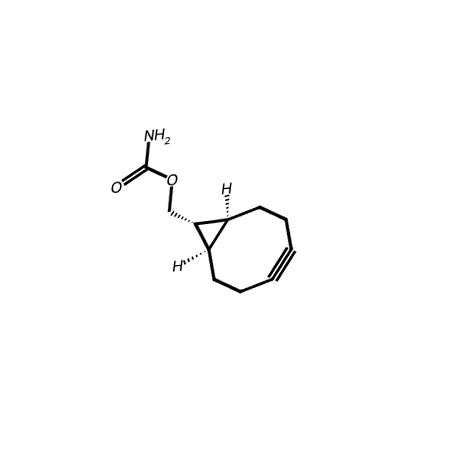 NC(=O)OC[C@H]1[C@@H]2CCC#CCC[C@@H]21